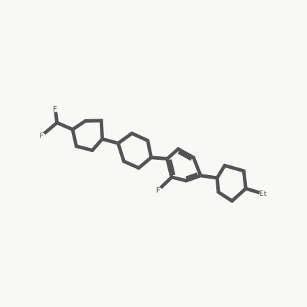 CCC1CCC(c2ccc(C3CCC(C4CCC(C(F)F)CC4)CC3)c(F)c2)CC1